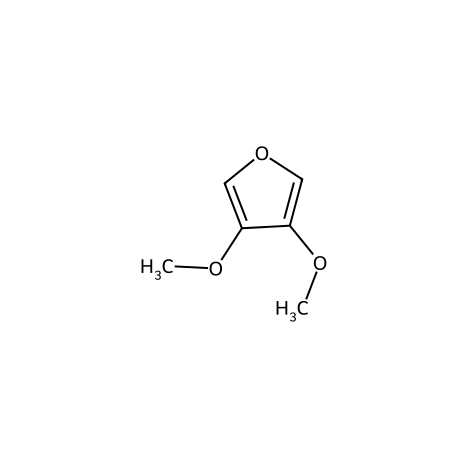 COc1cocc1OC